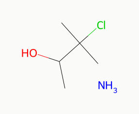 CC(O)C(C)(C)Cl.N